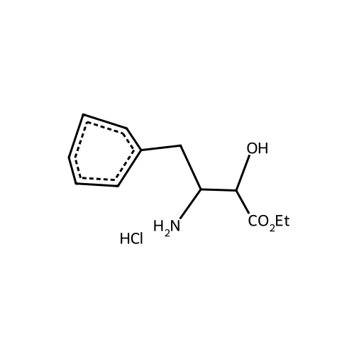 CCOC(=O)C(O)C(N)Cc1ccccc1.Cl